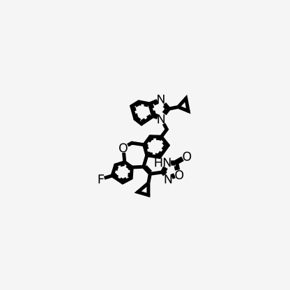 O=c1[nH]c(C(=C2c3ccc(Cn4c(C5CC5)nc5ccccc54)cc3COc3cc(F)ccc32)C2CC2)no1